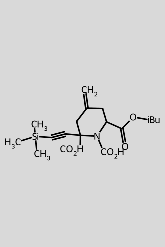 C=C1CC(C(=O)OC(C)CC)N(C(=O)O)C(C#C[Si](C)(C)C)(C(=O)O)C1